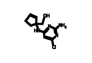 Nc1nc(Cl)cc(NC2(CO)C=CCC2)n1